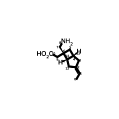 CC=C1C[C@H]2C[C@@](CN)(CC(=O)O)[C@H]2C1